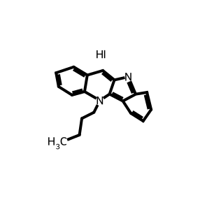 CCCCn1c2c3ccccc3nc-2cc2ccccc21.I